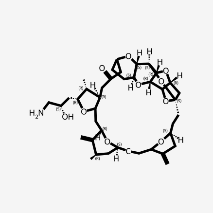 C=C1C[C@@H]2CC[C@@]34C[C@H]5O[C@H]6[C@@H](O3)[C@H]3OC(CC[C@@H]3O[C@H]6C5O4)CC(=O)C[C@H]3C(C[C@H]4O[C@@H](CCC1O2)C[C@@H](C)C4=C)O[C@H](C[C@H](O)CN)[C@@H]3C